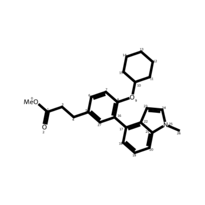 COC(=O)CCc1ccc(OC2CCCCC2)c(-c2cccc3c2ccn3C)c1